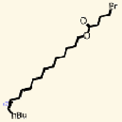 CCCC/C=C\CC=CCCCCCCCCCOC(=O)CCCBr